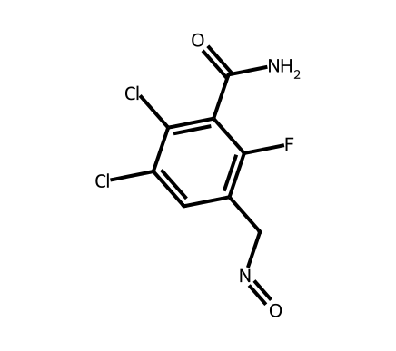 NC(=O)c1c(F)c(CN=O)cc(Cl)c1Cl